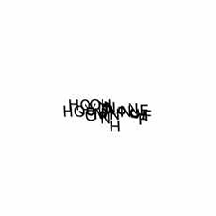 OC[C@H]1O[C@@H](n2cnc3c(N[C@@H]4CCN(c5ccc(C(F)(F)F)cn5)C4)ncnc32)[C@H](O)[C@@H]1O